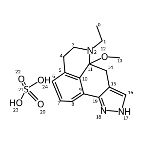 CCN1CCc2cccc3c2C1(OC)Cc1c[nH]nc1-3.O=S(=O)(O)O